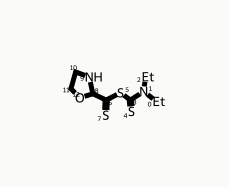 CCN(CC)C(=S)SC(=S)C1NCCO1